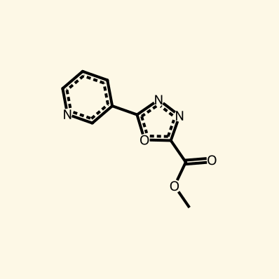 COC(=O)c1nnc(-c2cccnc2)o1